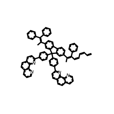 C=C\C=C/C=C\C(=C(/C)c1ccc2c(c1)C(c1ccc(-c3ccc4ccc5cccnc5c4n3)cc1)(c1ccc(-c3ccc4ccc5cccnc5c4n3)cc1)c1cc(C(C)=C(c3ccccc3)c3ccccc3)ccc1-2)c1ccccc1